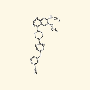 COc1cc2ncnc(N3CCN(c4ncc(Cc5cccc(C#N)c5)cn4)CC3)c2cc1OC